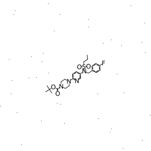 CCCS(=O)(=O)N(Cc1ccc(F)cc1)c1ccc(N2CCN(C(=O)OC(C)(C)C)CC2)nc1